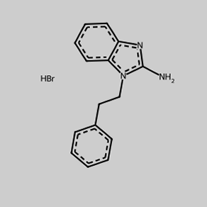 Br.Nc1nc2ccccc2n1CCc1ccccc1